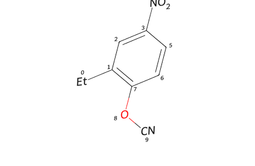 CCc1cc([N+](=O)[O-])ccc1OC#N